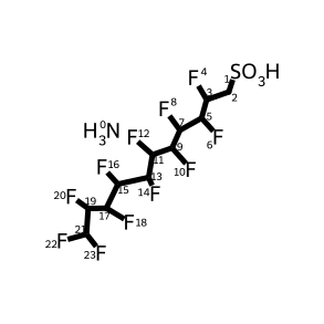 N.O=S(=O)(O)CC(F)C(F)C(F)C(F)C(F)C(F)C(F)C(F)C(F)C(F)F